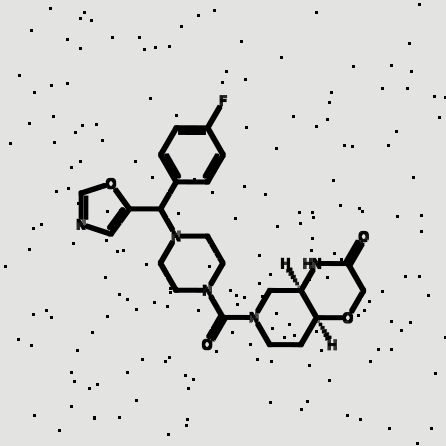 O=C1CO[C@H]2CCN(C(=O)N3CCN(C(c4ccc(F)cc4)c4cnco4)CC3)C[C@H]2N1